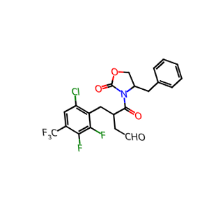 O=CCC(Cc1c(Cl)cc(C(F)(F)F)c(F)c1F)C(=O)N1C(=O)OCC1Cc1ccccc1